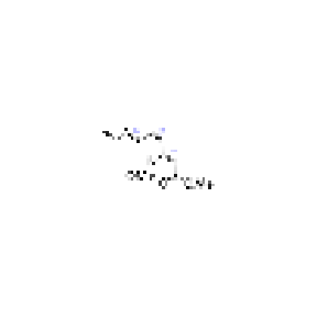 C=C/N=C/C=C\C(=C\C(=O)OC)NOC